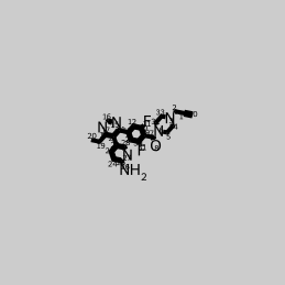 C#CCN1CCN(C(=O)c2c(F)cc(-c3ncnc(CC)c3-c3ccc(N)nc3)cc2F)CC1